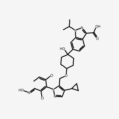 C\C=C(Cl)/C(=C(Cl)\C=N\O)n1ncc(C2CC2)c1COC1CCC(O)(c2ccc3c(C(=O)O)nn(C(C)C)c3c2)CC1